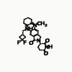 CN(c1ccc2c(c1)CN(C1CCC(=O)NC1=O)C2=O)[C@@H]1CCCC[C@@H]1NCC1CC(F)(F)C1